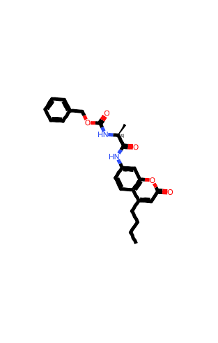 CCCCc1cc(=O)oc2cc(NC(=O)[C@H](C)NC(=O)OCc3ccccc3)ccc12